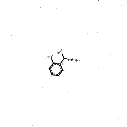 CCCCCCCC(CCC)c1ccccc1O